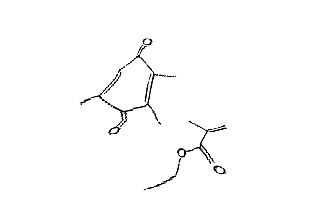 C=C(C)C(=O)OCC.CC1=CC(=O)C(C)=C(C)C1=O